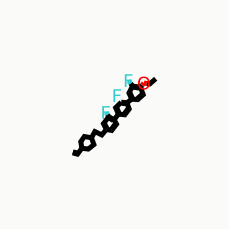 C=CC1CCC(CCc2ccc(-c3ccc(-c4ccc(OCC)c(F)c4)c(F)c3)c(F)c2)CC1